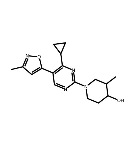 Cc1cc(-c2cnc(N3CCC(O)C(C)C3)nc2C2CC2)on1